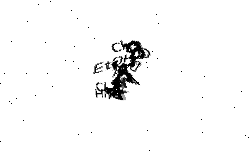 CC[C@H](O)Cn1cc(C(=O)C2COc3ccc(Cl)cc3C2)c2cnc(-c3cn[nH]c3Cl)cc21